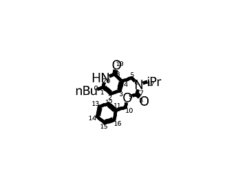 CCCCc1ccc(CN(C(=O)OCc2ccccc2)C(C)C)c(=O)[nH]1